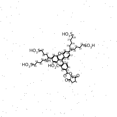 O=C(ON1C(=O)CCC1=O)c1ccc(-c2c3ccc(=[N+](CCCCS(=O)(=O)O)CCCCS(=O)(=O)O)cc-3oc3cc(C(CCCS(=O)(=O)O)NCCCCS(=O)(=O)O)ccc23)c(C(=O)O)c1